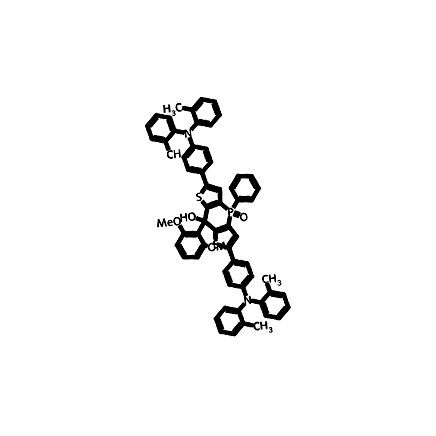 COc1cccc(OC)c1C1(O)c2sc(-c3ccc(N(c4ccccc4C)c4ccccc4C)cc3)cc2P(=O)(c2ccccc2)c2cc(-c3ccc(N(c4ccccc4C)c4ccccc4C)cc3)sc21